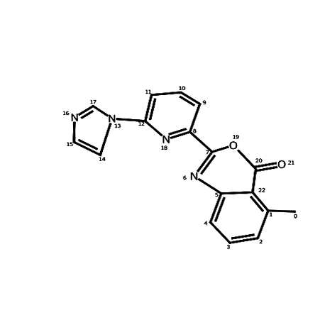 Cc1cccc2nc(-c3cccc(-n4ccnc4)n3)oc(=O)c12